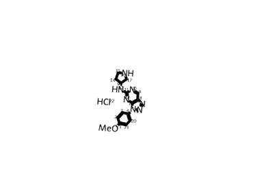 COc1ccc(-n2nnc3cnc(N[C@@H]4CCNC4)nc32)cc1.Cl